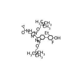 CCc1cc(O)c(F)cc1-c1ccc2c(-c3nc(CNC(=O)C4CC4)cn3COCC[Si](C)(C)C)nn(COCC[Si](C)(C)C)c2c1